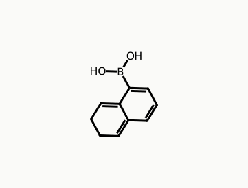 OB(O)c1cccc2c1=CCCC=2